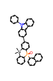 C[Si]1(C)c2ccccc2P(=O)(c2cccc3ccccc23)c2ccc(-c3ccc4c(c3)c3ccccc3n4-c3ccccc3)cc21